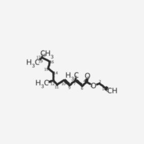 C#CCOC(=O)/C=C(\C)C=CCC(C)CCCC(C)C